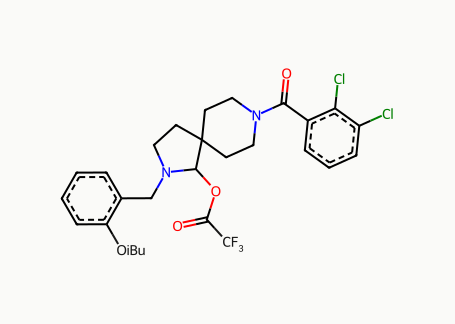 CC(C)COc1ccccc1CN1CCC2(CCN(C(=O)c3cccc(Cl)c3Cl)CC2)C1OC(=O)C(F)(F)F